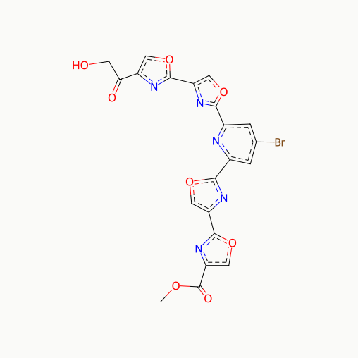 COC(=O)c1coc(-c2coc(-c3cc(Br)cc(-c4nc(-c5nc(C(=O)CO)co5)co4)n3)n2)n1